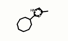 Cc1c[nH]c(C2CCCCCCC2)p1